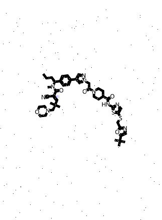 CCCC(c1ccc(-c2cnn(CC(=O)N3CCC(C(=O)Nc4ncc(SCc5ncc(C(C)(C)C)o5)s4)CC3)c2)cc1)N(C)C(=O)/C(C#N)=C/C(C)(C)CN1CCOCC1